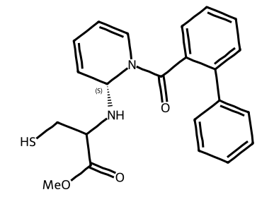 COC(=O)C(CS)N[C@@H]1C=CC=CN1C(=O)c1ccccc1-c1ccccc1